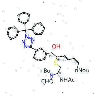 CCCCCCCCC/C=C\C=C\[C@@H](SC[C@H](NC(C)=O)N(C=O)CCCC)[C@@H](O)c1cccc(-c2nnn(C(c3ccccc3)(c3ccccc3)c3ccccc3)n2)c1